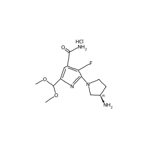 COC(OC)c1cc(C(N)=O)c(F)c(N2CC[C@@H](N)C2)n1.Cl